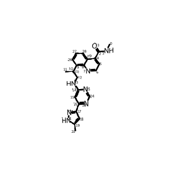 CNC(=O)c1ccnc2c([C@H](C)CNc3cc(-c4cc(C)[nH]n4)ncn3)cccc12